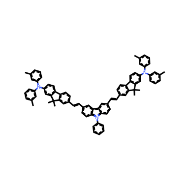 Cc1cccc(N(c2cccc(C)c2)c2ccc3c(c2)C(C)(C)c2cc(/C=C/c4ccc5c(c4)c4cc(/C=C/c6ccc7c(c6)C(C)(C)c6cc(N(c8cccc(C)c8)c8cccc(C)c8)ccc6-7)ccc4n5-c4ccccc4)ccc2-3)c1